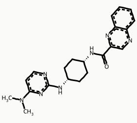 CN(C)c1ccnc(N[C@H]2CC[C@@H](NC(=O)c3cnc4ccccc4n3)CC2)n1